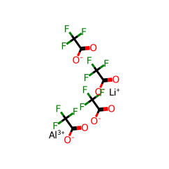 O=C([O-])C(F)(F)F.O=C([O-])C(F)(F)F.O=C([O-])C(F)(F)F.O=C([O-])C(F)(F)F.[Al+3].[Li+]